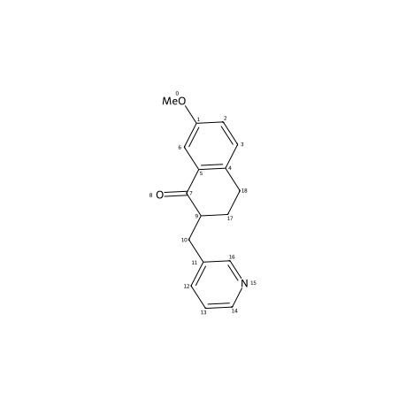 COc1ccc2c(c1)C(=O)C(Cc1cccnc1)CC2